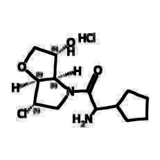 Cl.NC(C(=O)N1C[C@H](Cl)[C@H]2OC[C@H](O)[C@H]21)C1CCCC1